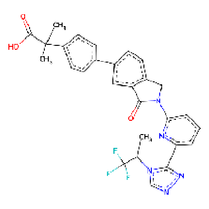 CC(n1cnnc1-c1cccc(N2Cc3ccc(-c4ccc(C(C)(C)C(=O)O)cc4)cc3C2=O)n1)C(F)(F)F